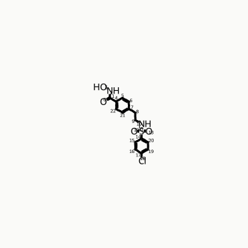 O=C(NO)c1ccc(CCNS(=O)(=O)c2ccc(Cl)cc2)cc1